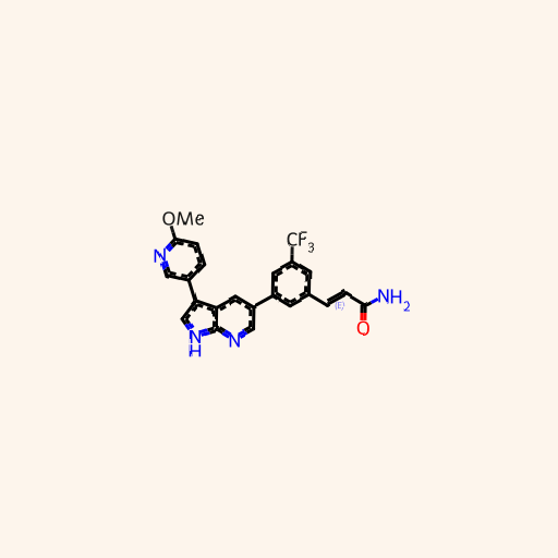 COc1ccc(-c2c[nH]c3ncc(-c4cc(/C=C/C(N)=O)cc(C(F)(F)F)c4)cc23)cn1